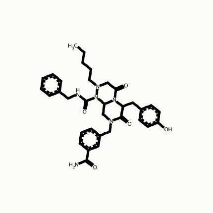 CCCCCN1CC(=O)N2C(Cc3ccc(O)cc3)C(=O)N(Cc3cccc(C(N)=O)c3)CC2N1C(=O)NCc1ccccc1